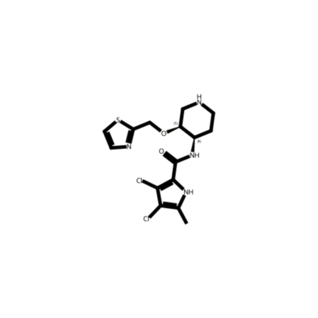 Cc1[nH]c(C(=O)N[C@@H]2CCNC[C@@H]2OCc2nccs2)c(Cl)c1Cl